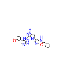 COc1cccc(-c2cncc3[nH]c(-c4n[nH]c5ccc(-c6cncc(NC(=O)CC7CCCCC7)c6)nc45)nc23)c1